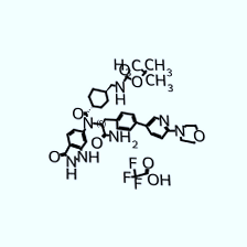 CC(C)(C)OC(=O)NC[C@H]1CC[C@H](C(=O)N(c2ccc3c(=O)[nH][nH]c3c2)[C@@H](Cc2ccc(-c3ccc(N4CCOCC4)nc3)cc2)C(N)=O)CC1.O=C(O)C(F)(F)F